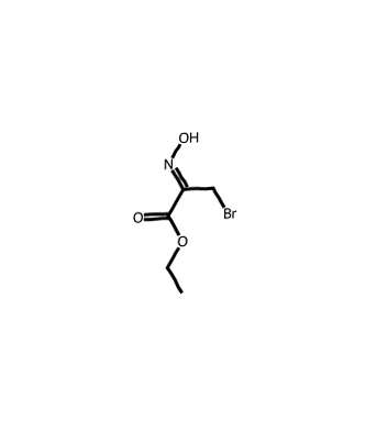 CCOC(=O)/C(CBr)=N/O